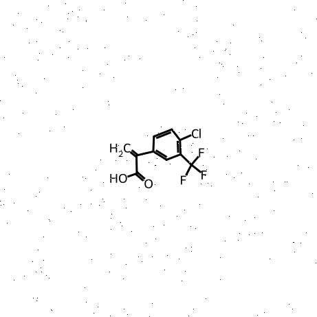 C=C(C(=O)O)c1ccc(Cl)c(C(F)(F)F)c1